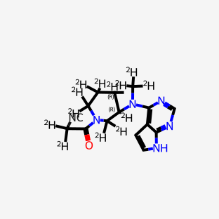 [2H]C([2H])([N+]#[C-])C(=O)N1C([2H])([2H])C([2H])([2H])[C@@]([2H])(C)[C@@]([2H])(N(c2ncnc3[nH]ccc23)C([2H])([2H])[2H])C1([2H])[2H]